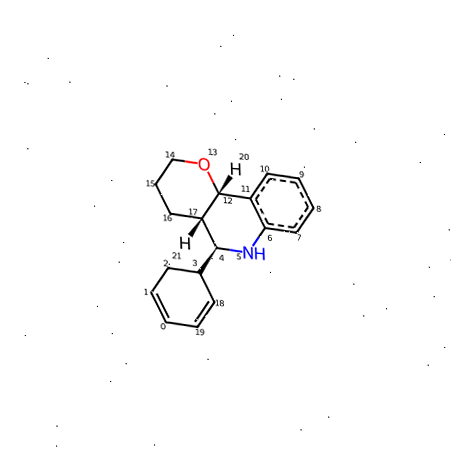 C1=CCC([C@@H]2Nc3ccccc3[C@H]3OCCC[C@H]32)C=C1